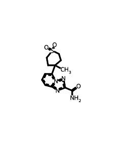 CC1(c2cccc3nc(C(N)=O)nn23)CCS(=O)(=O)CC1